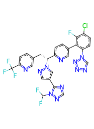 Fc1c(Cl)ccc(-n2cnnn2)c1-c1ccc([C@@H](Cc2ccc(C(F)(F)F)nc2)n2cc(-c3ncnn3C(F)F)cn2)nc1